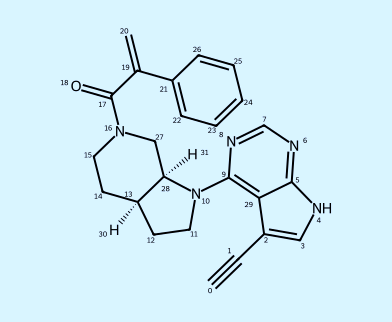 C#Cc1c[nH]c2ncnc(N3CC[C@H]4CCN(C(=O)C(=C)c5ccccc5)C[C@H]43)c12